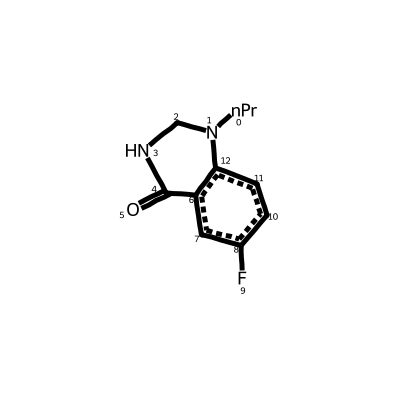 CCCN1CNC(=O)c2cc(F)ccc21